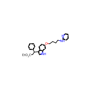 CCOC(=O)CC(c1ccccc1)c1c[nH]c2cc(OCCCCNc3ccccn3)ccc12